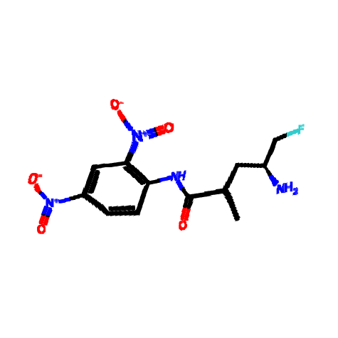 CC(C[C@H](N)CF)C(=O)Nc1ccc([N+](=O)[O-])cc1[N+](=O)[O-]